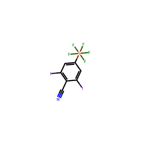 N#Cc1c(I)cc(S(F)(F)(F)(F)F)cc1I